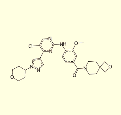 COc1cc(C(=O)N2CCC3(CC2)COC3)ccc1Nc1ncc(Cl)c(-c2cnn(C3CCOCC3)c2)n1